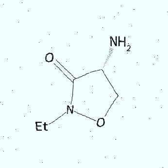 CCN1OC[C@@H](N)C1=O